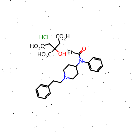 CCC(=O)N(c1ccccc1)C1CCN(CCc2ccccc2)CC1.Cl.O=C(O)CC(O)(CC(=O)O)C(=O)O